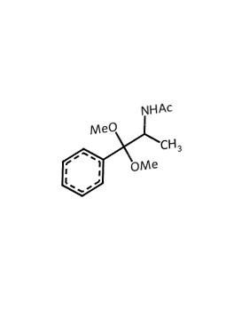 COC(OC)(c1ccccc1)C(C)NC(C)=O